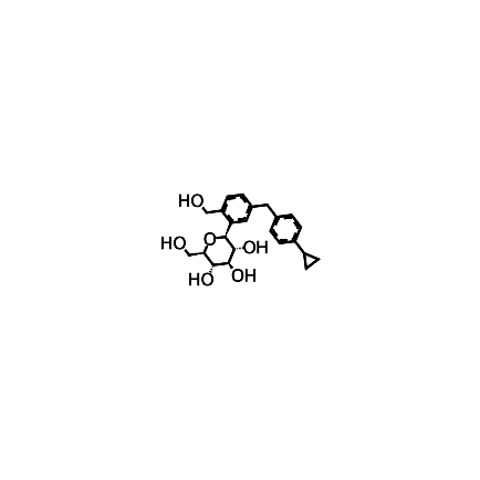 OCc1ccc(Cc2ccc(C3CC3)cc2)cc1[C@@H]1O[C@H](CO)[C@@H](O)[C@H](O)[C@H]1O